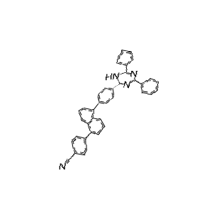 N#Cc1ccc(-c2cccc3c(-c4ccc(C5N=C(c6ccccc6)N=C(c6ccccc6)N5)cc4)cccc23)cc1